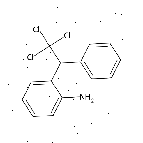 Nc1ccccc1C(c1ccccc1)C(Cl)(Cl)Cl